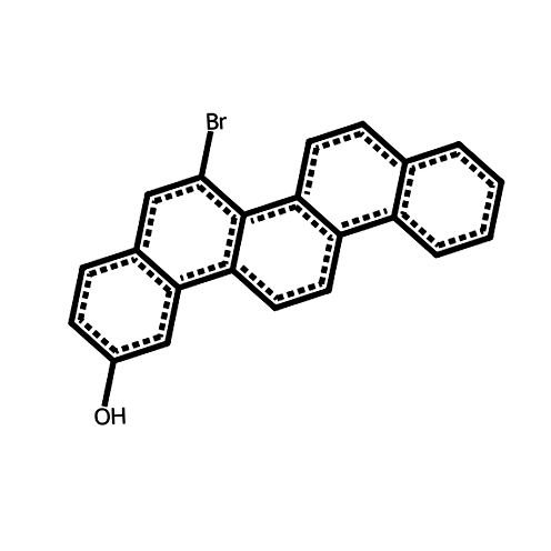 Oc1ccc2cc(Br)c3c(ccc4c5ccccc5ccc43)c2c1